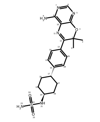 CC1(C)Oc2ncnc(N)c2N=C1c1ccc([C@H]2CC[C@H](NS(N)(=O)=O)CC2)cc1